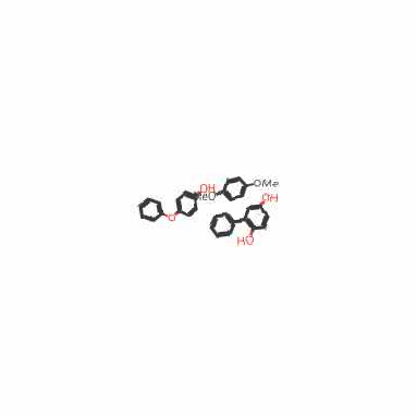 COc1ccc(OC)cc1.Oc1ccc(O)c(-c2ccccc2)c1.Oc1ccc(Oc2ccccc2)cc1